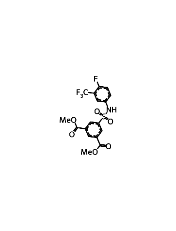 COC(=O)c1cc(C(=O)OC)cc(S(=O)(=O)Nc2ccc(F)c(C(F)(F)F)c2)c1